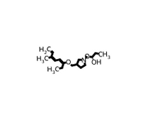 C=C/C(C)=C\C=C(/CC)OCC1CCN(O[C@@H](O)CC)C1